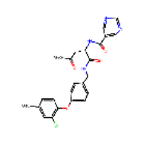 COC(=O)C[C@H](NC(=O)c1cncnc1)C(=O)NCc1ccc(Oc2ccc(OC)cc2Cl)cc1